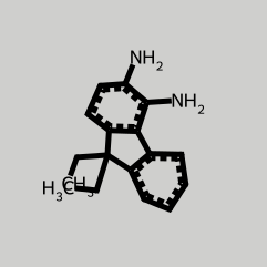 CCC1(CC)c2ccccc2-c2c1ccc(N)c2N